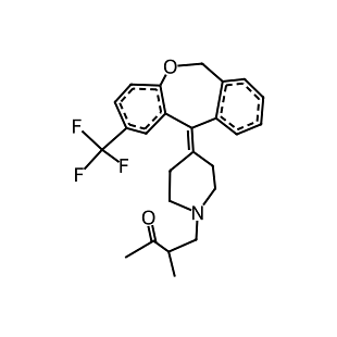 CC(=O)C(C)CN1CCC(=C2c3ccccc3COc3ccc(C(F)(F)F)cc32)CC1